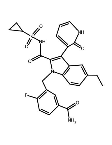 CCc1ccc2c(c1)c(-c1ccc[nH]c1=O)c(C(=O)NS(=O)(=O)C1CC1)n2Cc1cc(C(N)=O)ccc1F